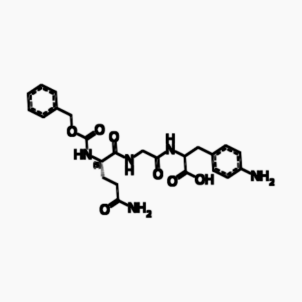 NC(=O)CC[C@H](NC(=O)OCc1ccccc1)C(=O)NCC(=O)NC(Cc1ccc(N)cc1)C(=O)O